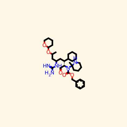 CC(CC(CC(C1CCCCC1)[C@@H](C=O)N(C(=O)OCc1ccccc1)C1(C)CCCCN1)NC(=N)N)OC1CCCCO1